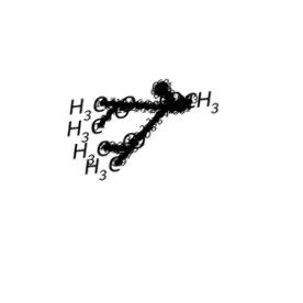 CCCCCCC(CCCC)CC(=O)OCCCCCCCCC(CCCCCCCCOC(=O)CC(CCCC)CCCCCC)N(CC1CCN(C)CC1)C(=O)OCc1ccccc1